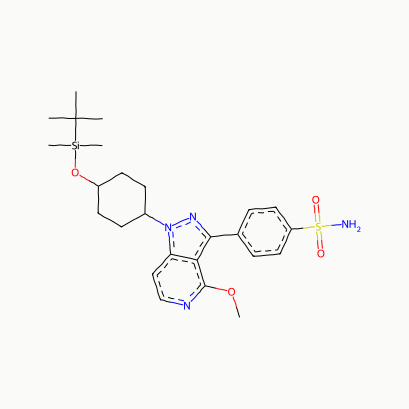 COc1nccc2c1c(-c1ccc(S(N)(=O)=O)cc1)nn2C1CCC(O[Si](C)(C)C(C)(C)C)CC1